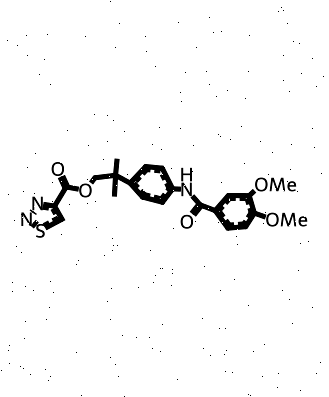 COc1ccc(C(=O)Nc2ccc(C(C)(C)COC(=O)c3csnn3)cc2)cc1OC